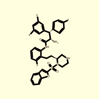 N[C@H](C(=O)Nc1cccc(F)c1CC[C@H]1CNCCN1S(=O)(=O)c1cc2ccccc2o1)[C@@H](c1ccc(F)cc1)c1cc(F)cc(F)c1